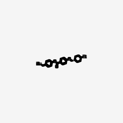 CC[C@H](C)Cc1ccc(OC(=O)c2ccc(OC[C@H]3CC[C@H](CC)CC3)cc2)cc1